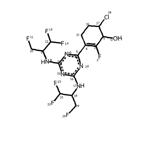 OC1C(F)=C(c2nc(NC(CF)C(F)F)nc(NC(CF)C(F)F)n2)CCC1Cl